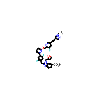 Cn1cc(C#Cc2cnc(COc3cccc(-c4cc(F)c(Cc5nc6ccc(C(=O)O)cc6n5CC5CCO5)cc4F)n3)c(F)c2)cn1